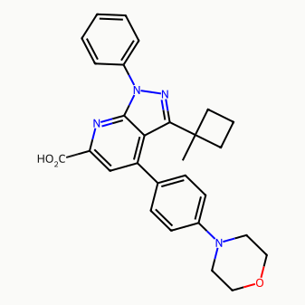 CC1(c2nn(-c3ccccc3)c3nc(C(=O)O)cc(-c4ccc(N5CCOCC5)cc4)c23)CCC1